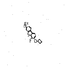 CCOc1ccc2c(c1)sc1c(F)c(OC3CCC3)ccc12